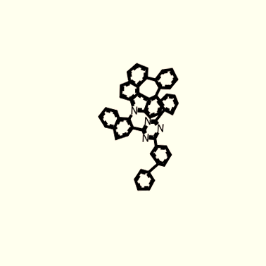 c1ccc(-c2cccc(-c3nc(-c4ccccc4)nc(-c4ccc5ccccc5c4-n4c5cccc6c5c5c7c(cccc7ccc54)-c4ccccc4-6)n3)c2)cc1